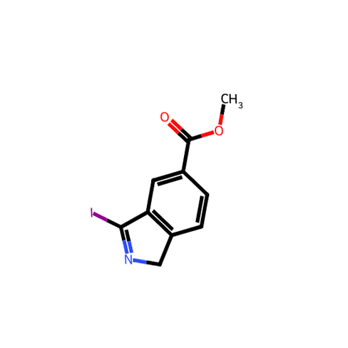 COC(=O)c1ccc2c(c1)C(I)=NC2